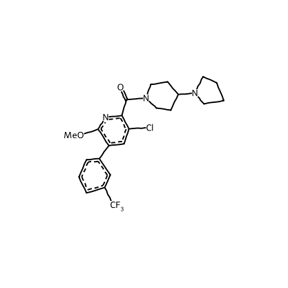 COc1nc(C(=O)N2CCC(N3CCCC3)CC2)c(Cl)cc1-c1cccc(C(F)(F)F)c1